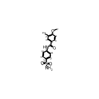 COc1ccc(C(=O)Nc2ccc(S(N)(=O)=O)cc2)cc1I